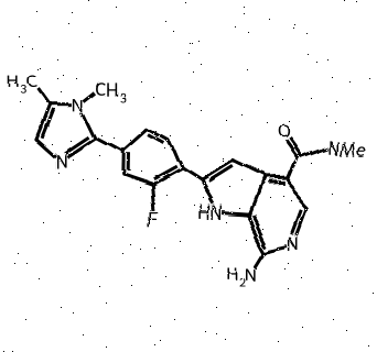 CNC(=O)c1cnc(N)c2[nH]c(-c3ccc(-c4ncc(C)n4C)cc3F)cc12